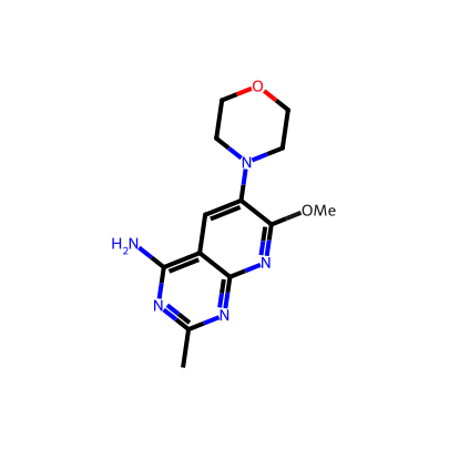 COc1nc2nc(C)nc(N)c2cc1N1CCOCC1